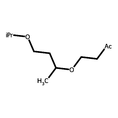 CC(=O)CCOC(C)CCOC(C)C